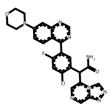 NC(=O)C(c1cc(-c2ncnc3cc(N4CCOCC4)ccc23)c(F)cc1Cl)c1cncc2nncn12